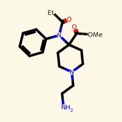 CCC(=O)N(c1ccccc1)C1(C(=O)OC)CCN(CCN)CC1